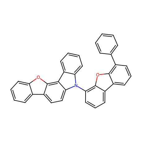 c1ccc(-c2cccc3c2oc2c(-n4c5ccccc5c5c6oc7ccccc7c6ccc54)cccc23)cc1